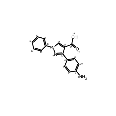 Nc1ccc(-c2nn(-c3ccccc3)cc2C(=O)O)cc1